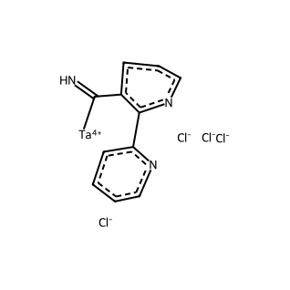 N=[C]([Ta+4])c1cccnc1-c1ccccn1.[Cl-].[Cl-].[Cl-].[Cl-]